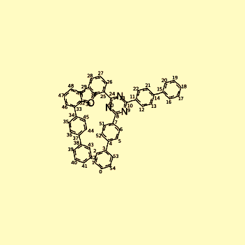 c1ccc(-c2ccc(-c3nc(-c4ccc(-c5ccccc5)cc4)nc(-c4cccc5c4oc4c(-c6ccc(-c7ccccc7)cc6)cccc45)n3)cc2)cc1